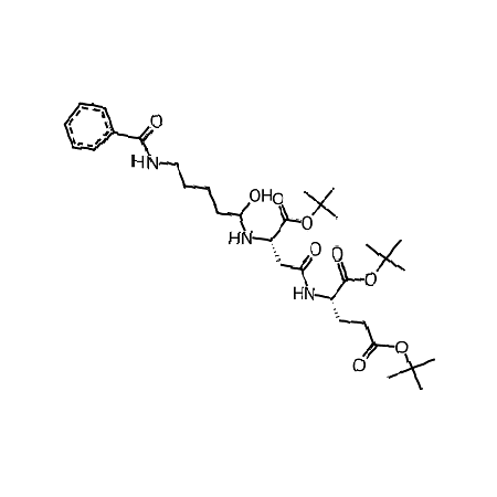 CC(C)(C)OC(=O)CC[C@H](NC(=O)C[C@H](NC(O)CCCCNC(=O)c1ccccc1)C(=O)OC(C)(C)C)C(=O)OC(C)(C)C